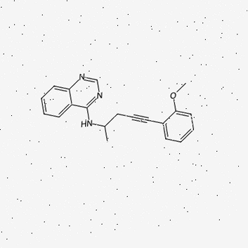 COc1ccccc1C#CCC(C)Nc1ncnc2ccccc12